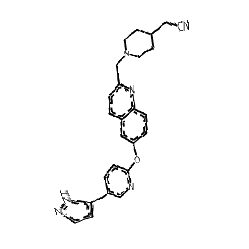 N#CCC1CCN(Cc2ccc3cc(Oc4ccc(-c5ccn[nH]5)cn4)ccc3n2)CC1